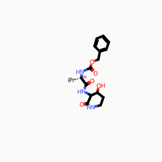 CC(C)[C@H](NC(=O)OCc1ccccc1)C(=O)NC1C(=O)NCCC1O